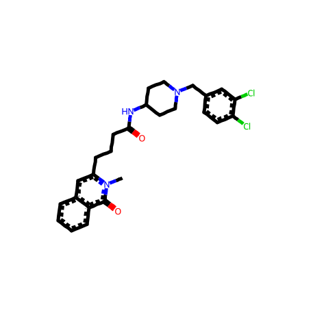 Cn1c(CCCC(=O)NC2CCN(Cc3ccc(Cl)c(Cl)c3)CC2)cc2ccccc2c1=O